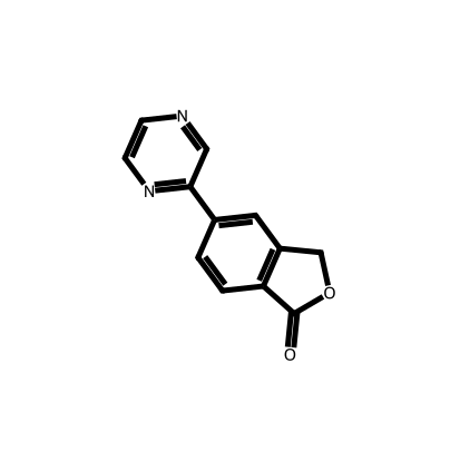 O=C1OCc2cc(-c3cnccn3)ccc21